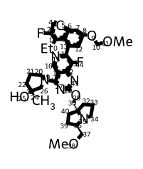 CCc1c(F)ccc2cc(OCOC)cc(-c3ncc4c(N5CCC[C@@](C)(O)C5)nc(OC[C@]56CCCN5[C@@H](COC)CC6)nc4c3F)c12